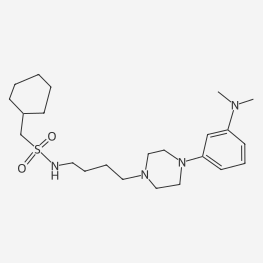 CN(C)c1cccc(N2CCN(CCCCNS(=O)(=O)CC3CCCCC3)CC2)c1